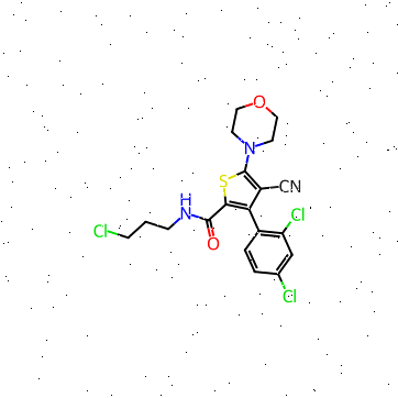 N#Cc1c(N2CCOCC2)sc(C(=O)NCCCCl)c1-c1ccc(Cl)cc1Cl